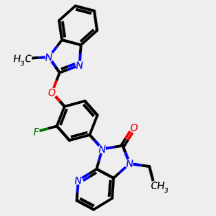 CCn1c(=O)n(-c2ccc(Oc3nc4ccccc4n3C)c(F)c2)c2ncccc21